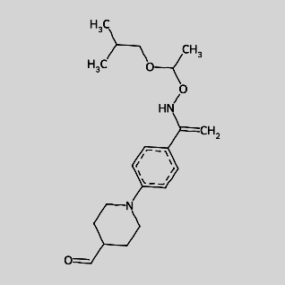 C=C(NOC(C)OCC(C)C)c1ccc(N2CCC(C=O)CC2)cc1